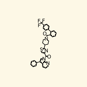 O=C(c1ccccc1-c1ccc(C(F)(F)F)cc1)N1CCC(c2nc(C(=O)n3cc(-c4ccccc4)c4cccnc43)cs2)CC1